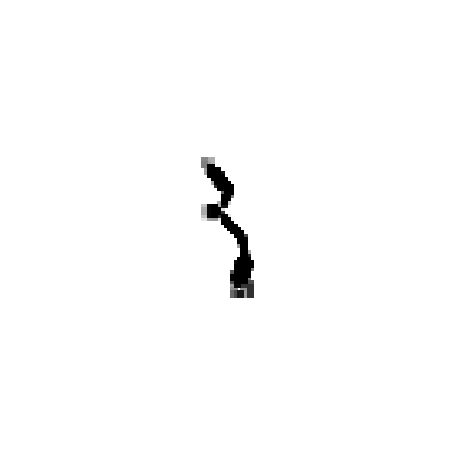 C#CCNC=S